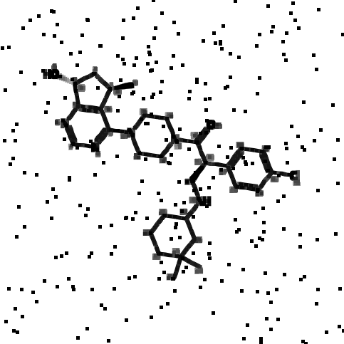 C[C@@H]1C[C@@H](O)c2ncnc(N3CCN(C(=O)[C@H](CNC4CCCC(C)(C)C4)c4ccc(Cl)cc4)CC3)c21